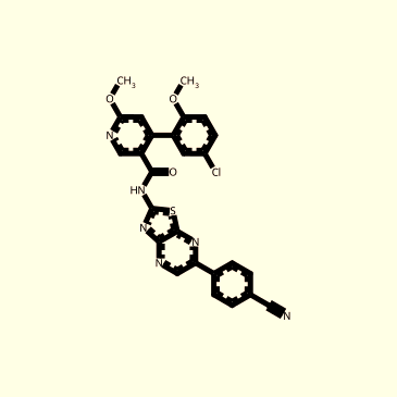 COc1cc(-c2cc(Cl)ccc2OC)c(C(=O)Nc2nc3ncc(-c4ccc(C#N)cc4)nc3s2)cn1